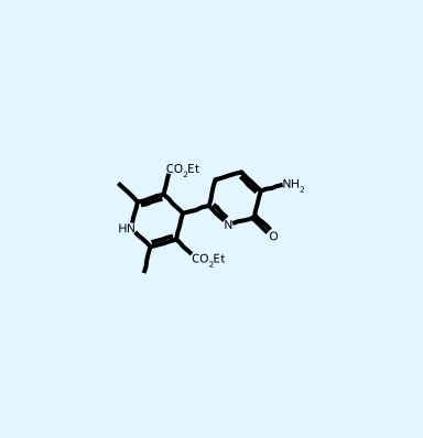 CCOC(=O)C1=C(C)NC(C)=C(C(=O)OCC)C1C1=NC(=O)C(N)=CC1